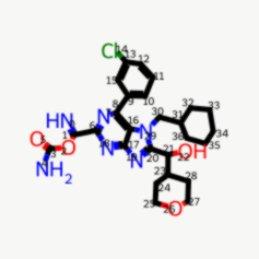 N=C(OC(N)=O)c1nc(-c2cccc(Cl)c2)c2c(n1)nc(C(O)C1CCOCC1)n2CC1CCCCC1